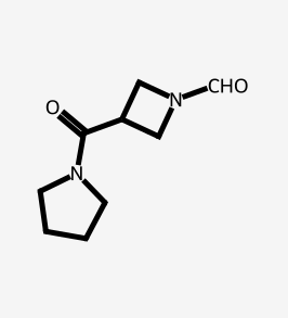 O=CN1CC(C(=O)N2CCCC2)C1